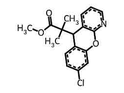 COC(=O)C(C)(C)C1c2ccc(Cl)cc2Oc2ncccc21